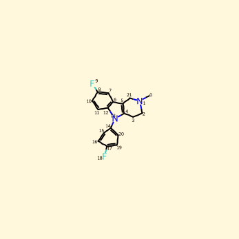 CN1CCc2c(c3cc(F)ccc3n2-c2ccc(F)cc2)C1